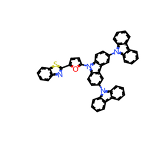 c1ccc2sc(-c3ccc(-n4c5ccc(-n6c7ccccc7c7ccccc76)cc5c5cc(-n6c7ccccc7c7ccccc76)ccc54)o3)nc2c1